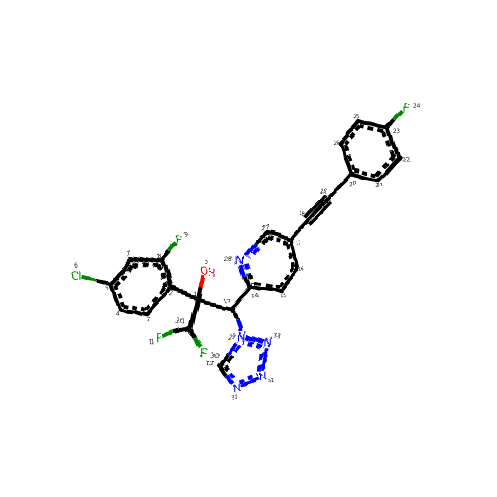 OC(c1ccc(Cl)cc1F)(C(F)F)C(c1ccc(C#Cc2ccc(F)cc2)cn1)n1cnnn1